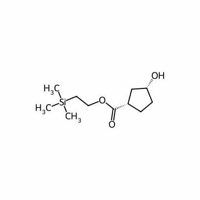 C[Si](C)(C)CCOC(=O)[C@H]1CC[C@@H](O)C1